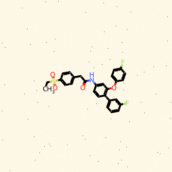 CCS(=O)(=O)c1ccc(CC(=O)Nc2ccc(-c3cccc(F)c3)c(Oc3ccc(F)cc3)c2)cc1